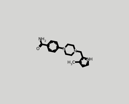 Cc1cc[nH]c1CN1CCN(c2ccc(C(N)=O)cc2)CC1